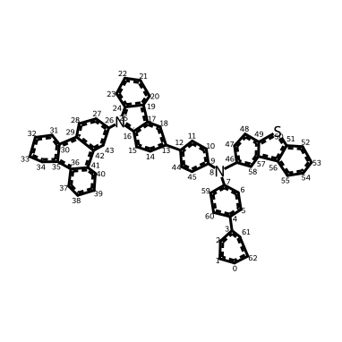 c1ccc(-c2ccc(N(c3ccc(-c4ccc5c(c4)c4ccccc4n5-c4ccc5c6ccccc6c6ccccc6c5c4)cc3)c3ccc4sc5ccccc5c4c3)cc2)cc1